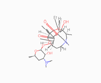 C=C1CO[C@@H]2[C@@H](C)CN(C)[C@H](C)C[C@@](C)(OC1)[C@H](O[C@@H]1O[C@H](C)C[C@H](N(C)C)[C@H]1O)[C@@H](C)C(=O)[C@@H](C)C(=O)O[C@H](CC)[C@@]2(C)O